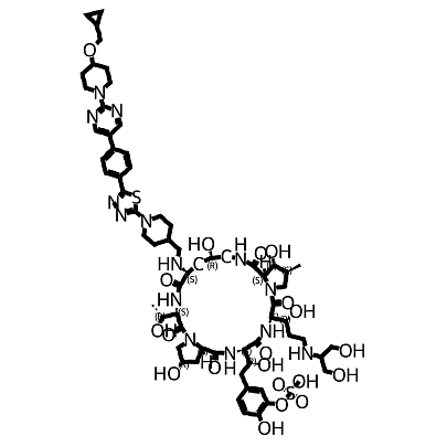 C[C@@H](O)[C@@H]1NC(=O)[C@@H](NCC2CCN(c3nnc(-c4ccc(-c5cnc(N6CCC(OCC7CC7)CC6)nc5)cc4)s3)CC2)C[C@@H](O)CNC(=O)[C@@H]2[C@@H](O)[C@@H](C)CN2C(=O)[C@H]([C@H](O)CCNC(CO)CO)NC(=O)[C@H]([C@H](O)Cc2ccc(O)c(OS(=O)(=O)O)c2)NC(=O)[C@@H]2C[C@@H](O)CN2C1=O